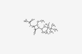 CSC1C(C(C)O[Si](C)(C)C(C)(C)C)C(=O)N1CC(=O)O